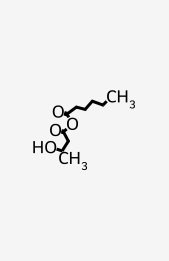 CCCCCC(=O)OC(=O)CC(C)O